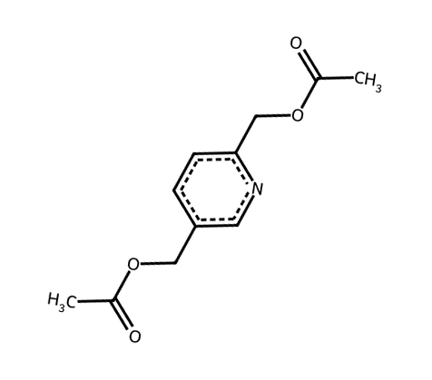 CC(=O)OCc1ccc(COC(C)=O)nc1